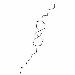 CCCCCCCC1CCC2(CC1)CC1(CCC(CCCCC)CC1)C2